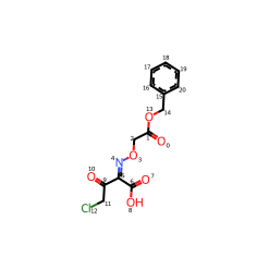 O=C(CO/N=C(\C(=O)O)C(=O)CCl)OCc1ccccc1